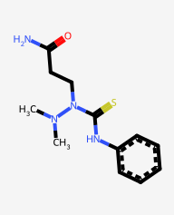 CN(C)N(CCC(N)=O)C(=S)Nc1ccccc1